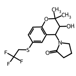 CC1(C)Oc2ccc(SCC(F)(F)F)cc2C(N2CCCC2=O)C1O